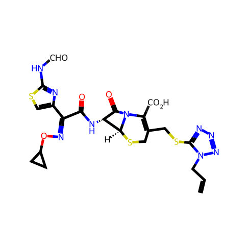 C=CCn1nnnc1SCC1=C(C(=O)O)N2C(=O)[C@@H](NC(=O)C(=NOC3CC3)c3csc(NC=O)n3)[C@@H]2SC1